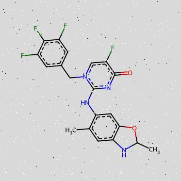 Cc1cc2c(cc1Nc1nc(=O)c(F)cn1Cc1cc(F)c(F)c(F)c1)OC(C)N2